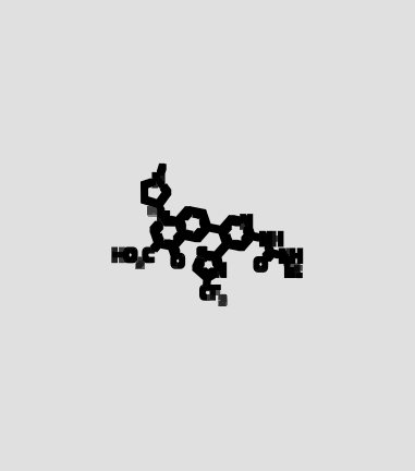 CCNC(=O)Nc1cc(-c2nc(C(F)(F)F)cs2)c(-c2ccc3c(c2)c(=O)c(C(=O)O)cn3[C@H]2CCN(C)C2)cn1